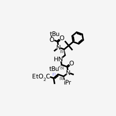 CCOC(=O)/C(C)=C/[C@H](C(C)C)N(C)C(=O)[C@@H](NC[C@@H](N(C)C(=O)OC(C)(C)C)C(C)(C)c1ccccc1)C(C)(C)C